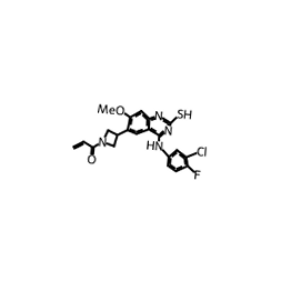 C=CC(=O)N1CC(c2cc3c(Nc4ccc(F)c(Cl)c4)nc(S)nc3cc2OC)C1